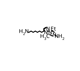 CCC1CN(N)CC(C)N1c1nccc(CCCCCCCN)n1